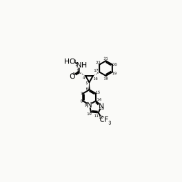 O=C(NO)[C@H]1[C@H](c2ccn3cc(C(F)(F)F)nc3c2)[C@H]1C1C=CC=CC1